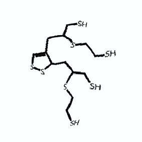 SCCSC(CS)CC1=CSSC1CC(CS)SCCS